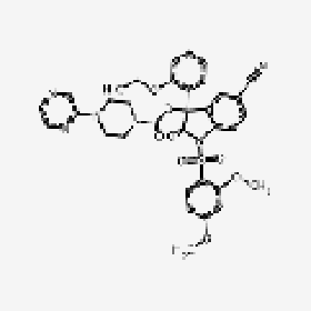 CCOc1ccccc1C1(OC(=O)N2CCN(c3cnccn3)CC2)C(=O)N(S(=O)(=O)c2ccc(OC)cc2OC)c2ccc(C#N)cc21